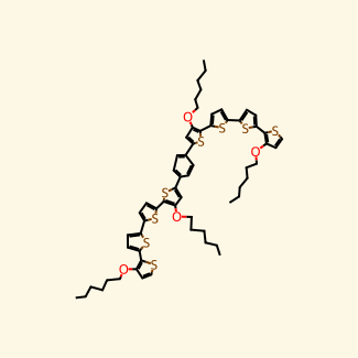 CCCCCCOc1ccsc1-c1ccc(-c2ccc(-c3sc(-c4ccc(-c5cc(OCCCCCC)c(-c6ccc(-c7ccc(-c8sccc8OCCCCCC)s7)s6)s5)cc4)cc3OCCCCCC)s2)s1